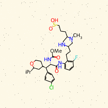 COC(=O)N[C@H](C(=O)Nc1cccc(F)c1CCC1CN(C)C(CCCS(=O)O)CN1)[C@@H](c1ccc(Cl)cc1)C1CCOC(C(C)C)C1